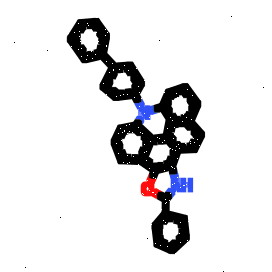 c1ccc(-c2ccc(N(c3ccccc3)c3cccc4c5c(c6ccccc6c34)NC(c3ccccc3)O5)cc2)cc1